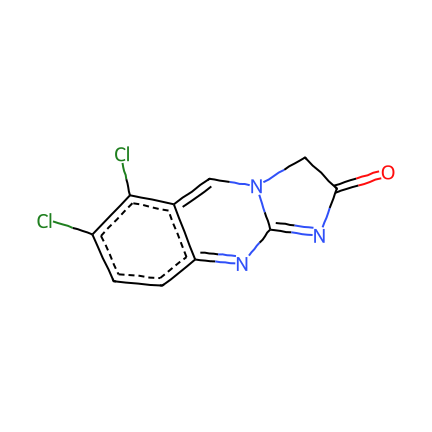 O=C1CN2C=c3c(Cl)c(Cl)ccc3=NC2=N1